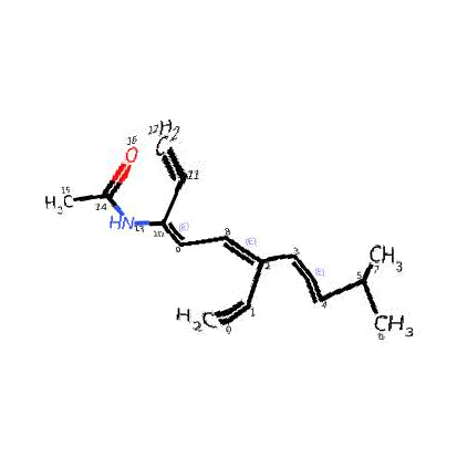 C=CC(/C=C/C(C)C)=C\C=C(/C=C)NC(C)=O